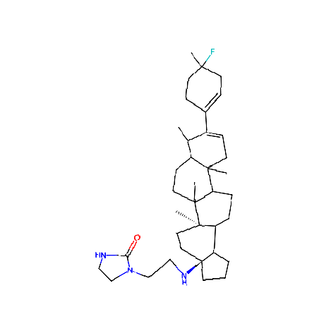 CC1C(C2=CCC(C)(F)CC2)=CCC2(C)C1CCC1(C)C2CCC2C3CCC[C@]3(NCCN3CCNC3=O)CC[C@]21C